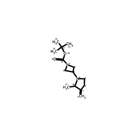 C=C1CCN(C2CN(C(=O)OC(C)(C)C)C2)C1C